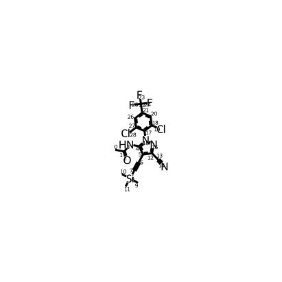 CC(=O)Nc1c(C#C[Si](C)(C)C)c(C#N)nn1-c1c(Cl)cc(C(F)(F)F)cc1Cl